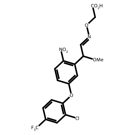 COC(C=NOCC(=O)O)c1cc(Oc2ccc(C(F)(F)F)cc2Cl)ccc1[N+](=O)[O-]